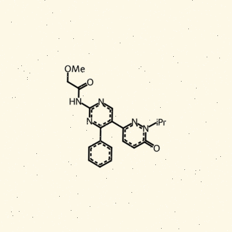 COCC(=O)Nc1ncc(-c2ccc(=O)n(C(C)C)n2)c(-c2ccccc2)n1